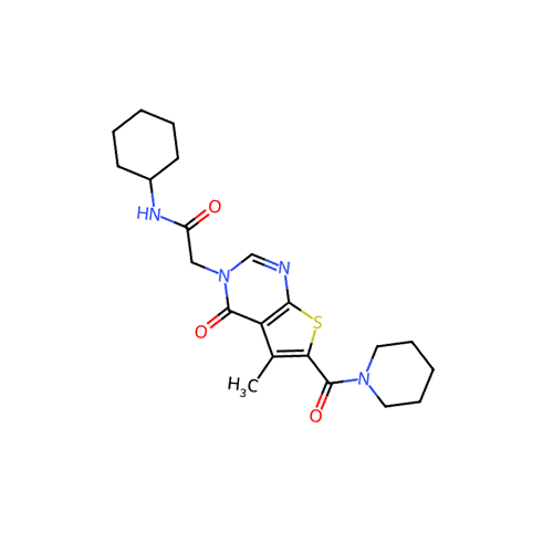 Cc1c(C(=O)N2CCCCC2)sc2ncn(CC(=O)NC3CCCCC3)c(=O)c12